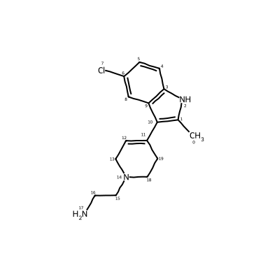 Cc1[nH]c2ccc(Cl)cc2c1C1=CCN(CCN)CC1